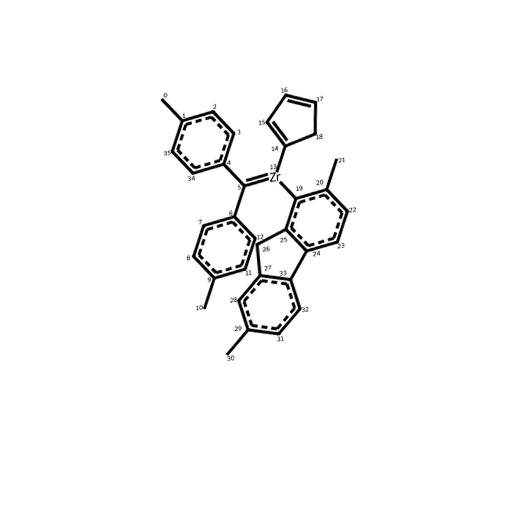 Cc1ccc([C](c2ccc(C)cc2)=[Zr]([C]2=CC=CC2)[c]2c(C)ccc3c2Cc2cc(C)ccc2-3)cc1